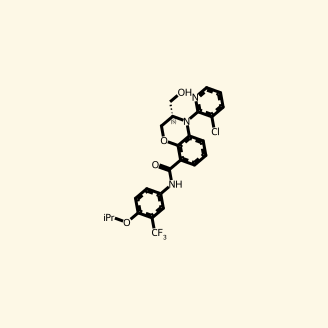 CC(C)Oc1ccc(NC(=O)c2cccc3c2OC[C@H](CO)N3c2ncccc2Cl)cc1C(F)(F)F